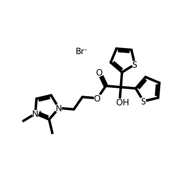 Cc1n(CCOC(=O)C(O)(c2cccs2)c2cccs2)cc[n+]1C.[Br-]